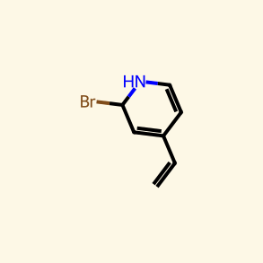 C=CC1=CC(Br)NC=C1